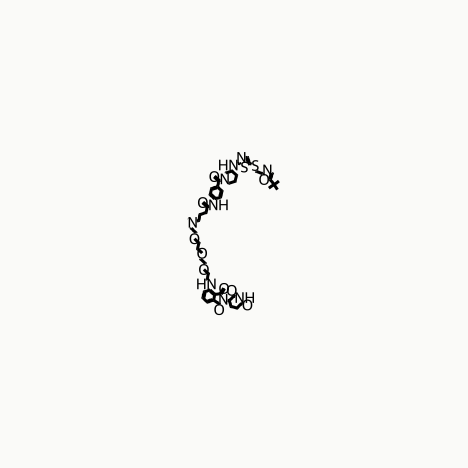 CN(CCCC(=O)Nc1ccc(C(=O)N2CCC[C@@H](Nc3ncc(SCc4ncc(C(C)(C)C)o4)s3)C2)cc1)CCOCCOCCOCCNc1cccc2c1C(=O)N(C1CCC(=O)NC1=O)C2=O